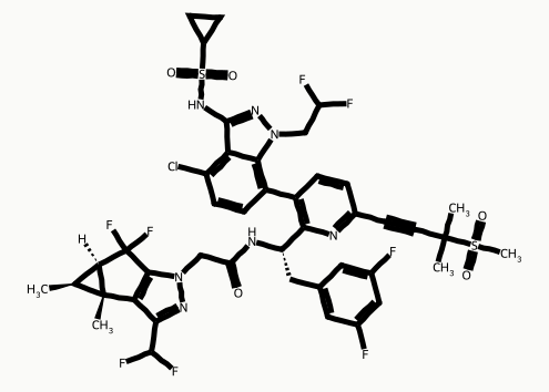 C[C@H]1[C@H]2C(F)(F)c3c(c(C(F)F)nn3CC(=O)N[C@@H](Cc3cc(F)cc(F)c3)c3nc(C#CC(C)(C)S(C)(=O)=O)ccc3-c3ccc(Cl)c4c(NS(=O)(=O)C5CC5)nn(CC(F)F)c34)[C@]12C